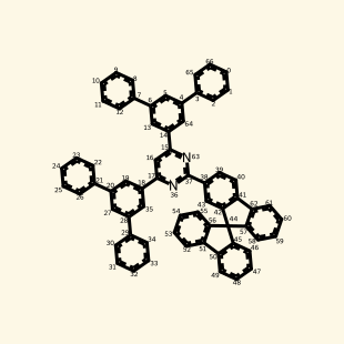 c1ccc(-c2cc(-c3ccccc3)cc(-c3cc(-c4cc(-c5ccccc5)cc(-c5ccccc5)c4)nc(-c4ccc5c(c4)C4(c6ccccc6-c6ccccc64)c4ccccc4-5)n3)c2)cc1